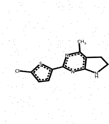 Cc1nc(-c2ccc(Cl)s2)nc2c1CCN2